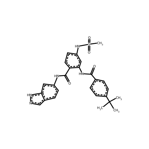 CC(C)(C)c1ccc(C(=O)Nc2cc(NS(C)(=O)=O)ccc2C(=O)Nc2ccc3cn[nH]c3c2)cc1